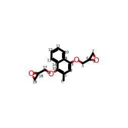 Cc1cc(OCC2CO2)c2ccccc2c1OCC1CO1